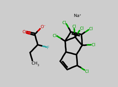 CCC(F)C(=O)[O-].ClC1=C(Cl)C2(Cl)C3C(Cl)C=CC3C1(Cl)C2(Cl)Cl.[Na+]